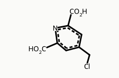 O=C(O)c1cc(CCl)cc(C(=O)O)n1